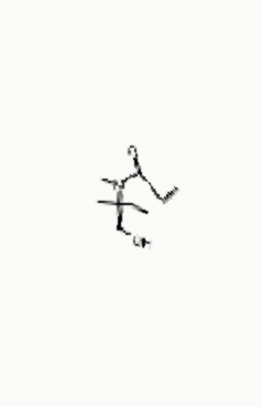 CCC(=O)N(C)C(C)(C)CO